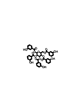 O=C(OCC1OC(OC(=O)c2cccc(O)c2)[C@H](OC(=O)c2cccc(O)c2)[C@@H](OC(=O)c2cccc(O)c2)[C@@H]1OC(=O)c1cccc(O)c1)c1cccc(O)c1